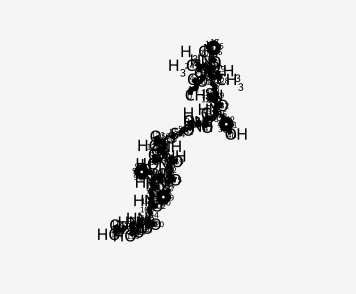 CCCC(=O)OCN(C(=O)[C@@H](NC(=O)[C@H]1CCCCN1C)C(C)CC)[C@H](CCc1nc(C(=O)N[C@@H](Cc2ccc(O)cc2)C[C@H](C)C(=O)NNC(=O)OCCSSC[C@@H](NC(=O)[C@H](CC(=O)O)NC(=O)[C@@H](N)CNC(=O)[C@H](Cc2ccccc2)NC(=O)[C@H](Cc2ccccc2)NC(=O)CCNC(=O)CC[C@H](NC(=O)N[C@@H](CCC(=O)O)C(=O)O)C(=O)O)C(=O)O)cs1)C(C)C